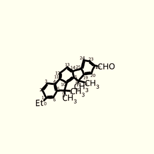 CCc1ccc2c(c1)C(C)(C)c1c-2ccc2c1C(C)(C)c1cc(C=O)ccc1-2